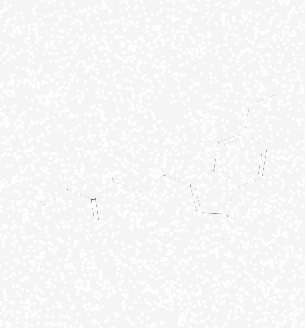 COc1ccc2[nH]cc(CCNC(=O)C[125I])c2c1